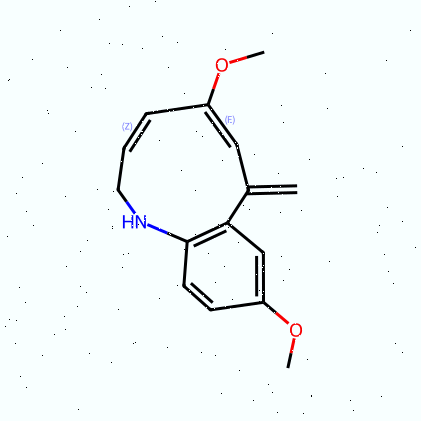 C=C1/C=C(OC)\C=C/CNc2ccc(OC)cc21